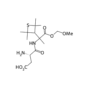 COCOC(=O)C(C)(NC(=O)[C@@H](N)CC(=O)O)C1C(C)(C)SC1(C)C